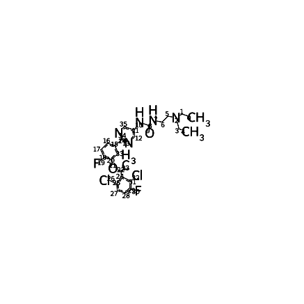 CCN(CC)CCNC(=O)Nc1cnc(-c2ccc(F)c(OC(C)c3c(Cl)ccc(F)c3Cl)c2)nc1